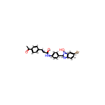 CC(=O)c1ccc(/C=C/C(=O)Nc2ccc(-c3nc4ccc(Br)cc4n3O)cc2)cc1